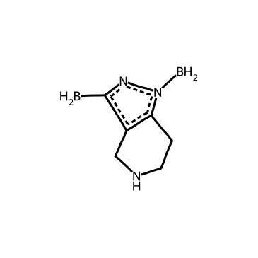 Bc1nn(B)c2c1CNCC2